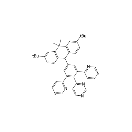 CC(C)(C)c1ccc2c(c1)C(C)(C)c1cc(C(C)(C)C)ccc1C2c1cc(-c2ccncn2)c(-c2ccncn2)c(-c2ccncn2)c1